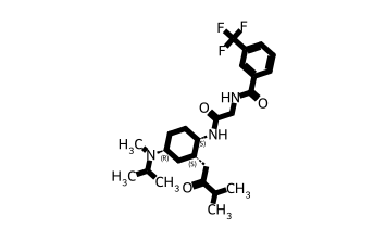 CC(C)C(=O)C[C@@H]1C[C@H](N(C)C(C)C)CC[C@@H]1NC(=O)CNC(=O)c1cccc(C(F)(F)F)c1